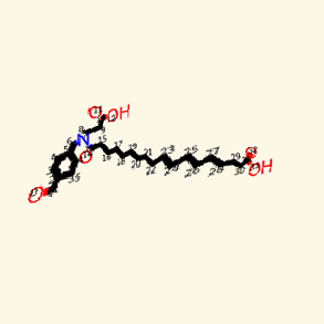 O=[C]c1ccc(CN(CCC(=O)O)C(=O)CCCCCCCCCCCCCCCCC(=O)O)cc1